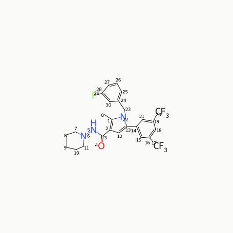 Cc1c(C(=O)NN2CCCCC2)cc(-c2cc(C(F)(F)F)cc(C(F)(F)F)c2)n1Cc1cccc(F)c1